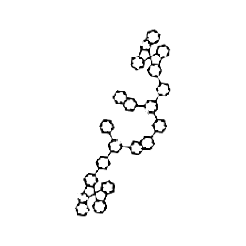 c1ccc(-c2cc(-c3ccc(-c4ccc5c(c4)C4(c6ccccc6-c6ccccc64)c4c-5oc5ccccc45)cc3)cc(-c3ccc4ccc(-c5cccc(-c6cc(-c7cccc(-c8ccc9c(c8)-c8ccccc8C98c9ccccc9-c9oc%10ccccc%10c98)c7)cc(-c7ccc8ccccc8c7)n6)c5)cc4c3)n2)cc1